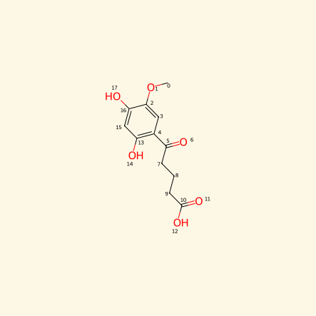 COc1cc(C(=O)CCCC(=O)O)c(O)cc1O